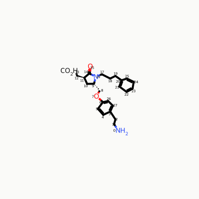 NCCc1ccc(OC[C@@H]2C[C@@H](CC(=O)O)C(=O)N2CCCc2ccccc2)cc1